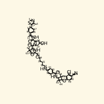 Cc1ncsc1-c1ccc([C@H](C)NC(=O)[C@H]2C[C@H](O)CN2C(=O)[C@@H](NC(=O)COCCCCCNc2ccc(C(=O)N[C@H]3C(C)(C)[C@H](Oc4ccc(C#N)c(Cl)c4)C3(C)C)cc2)C(C)(C)C)cc1